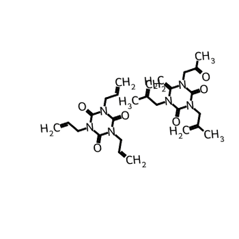 C=C(C)CN1C(=C)N(CC(C)=O)C(=O)N(CC(=C)C)C1=O.C=CCn1c(=O)n(CC=C)c(=O)n(CC=C)c1=O